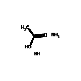 CC(=O)O.N.[KH]